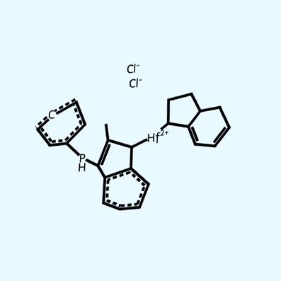 CC1=C(Pc2ccccc2)c2ccccc2[CH]1[Hf+2][CH]1CCC2CC=CC=C21.[Cl-].[Cl-]